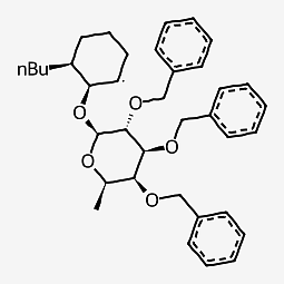 CCCC[C@H]1CCC[CH][C@H]1O[C@@H]1O[C@H](C)[C@H](OCc2ccccc2)[C@H](OCc2ccccc2)[C@H]1OCc1ccccc1